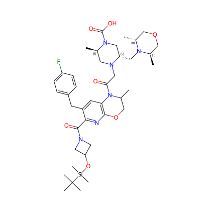 CC1COc2nc(C(=O)N3CC(O[Si](C)(C)C(C)(C)C)C3)c(Cc3ccc(F)cc3)cc2N1C(=O)CN1C[C@@H](C)N(C(=O)O)C[C@@H]1CN1[C@H](C)COC[C@H]1C